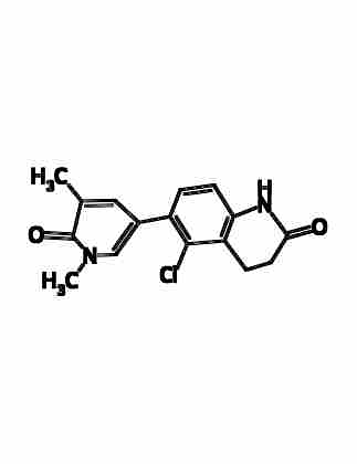 Cc1cc(-c2ccc3c(c2Cl)CCC(=O)N3)cn(C)c1=O